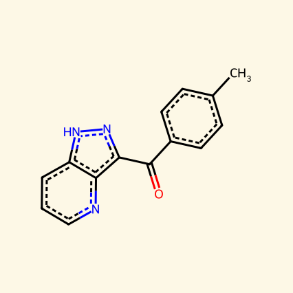 Cc1ccc(C(=O)c2n[nH]c3cccnc23)cc1